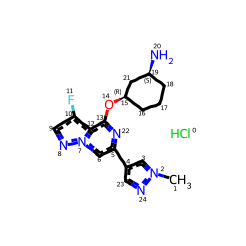 Cl.Cn1cc(-c2cn3ncc(F)c3c(O[C@@H]3CCC[C@H](N)C3)n2)cn1